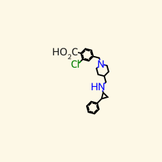 O=C(O)c1ccc(CN2CCC(CNC3CC3c3ccccc3)CC2)cc1Cl